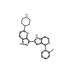 Fc1ccccc1-c1nccc2[nH]c(-c3n[nH]c4ccc(C5CCNCC5)nc34)cc12